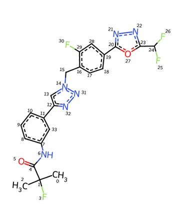 CC(C)(F)C(=O)Nc1cccc(-c2cn(Cc3ccc(-c4nnc(C(F)F)o4)cc3F)nn2)c1